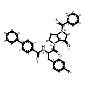 O=C(NC(Cc1ccc(F)cc1)C(=O)N1CCC2C1C(=O)CN2C(=O)c1ccccn1)c1ccc(-c2ccccc2)cc1